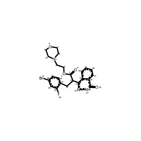 O=C(OCCN1CCOCC1)C(Cc1ccc(Br)cc1F)c1n[nH]c(=O)c2ccccc12